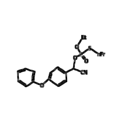 CCCSP(=O)(OCC)OC(C#N)c1ccc(Oc2ccccc2)cc1